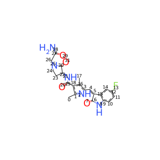 Cc1[nH]c(/C=C2\C(=O)Nc3ccc(F)cc32)c(C)c1C(=O)N[C@H]1CCN(CC(N)=O)C1=O